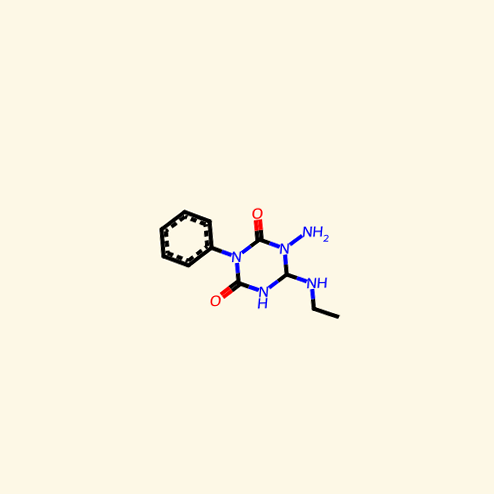 CCNC1NC(=O)N(c2ccccc2)C(=O)N1N